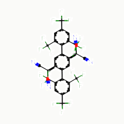 N#CC(C#N)=c1cc(-c2c(C(F)(F)F)cc(C(F)(F)F)cc2C(F)(F)F)c(=C(C#N)C#N)cc1-c1c(C(F)(F)F)cc(C(F)(F)F)cc1C(F)(F)F